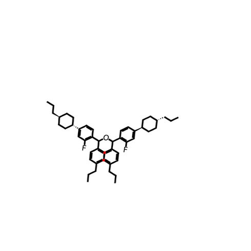 CCCc1ccc(C(OC(c2ccc(CCC)cc2)c2ccc([C@H]3CC[C@H](CCC)CC3)cc2F)c2ccc([C@H]3CC[C@H](CCC)CC3)cc2F)cc1